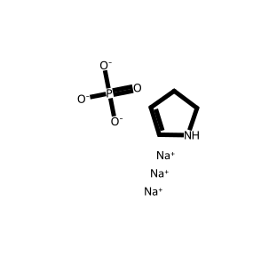 C1=CNCC1.O=P([O-])([O-])[O-].[Na+].[Na+].[Na+]